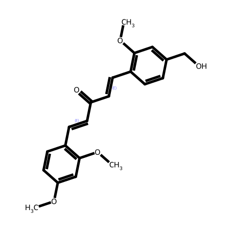 COc1ccc(/C=C/C(=O)/C=C/c2ccc(CO)cc2OC)c(OC)c1